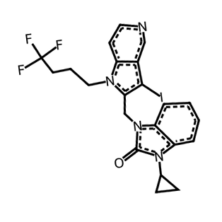 O=c1n(Cc2c(I)c3cnccc3n2CCCC(F)(F)F)c2ccccc2n1C1CC1